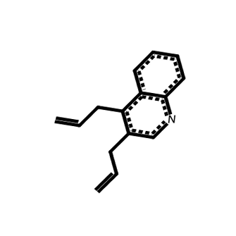 C=CCc1cnc2ccccc2c1CC=C